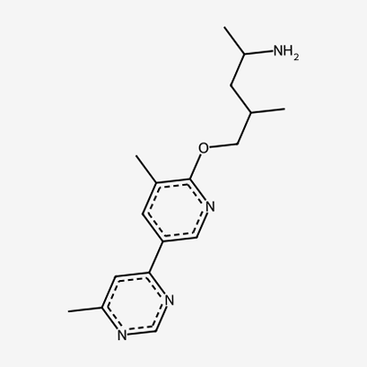 Cc1cc(-c2cnc(OCC(C)CC(C)N)c(C)c2)ncn1